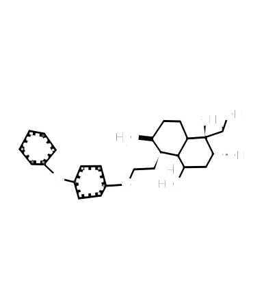 C=C1CCC2[C@@H](C(C)C[C@@H](O)[C@@]2(C)CO)[C@H]1CCOc1ccc(Oc2ccccc2)cc1